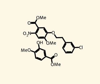 COC(=O)c1cc(OCCc2cccc(Cl)c2)c(OC)cc1[N+](=O)[O-].COC(=O)c1ccc(OC)c(O)c1